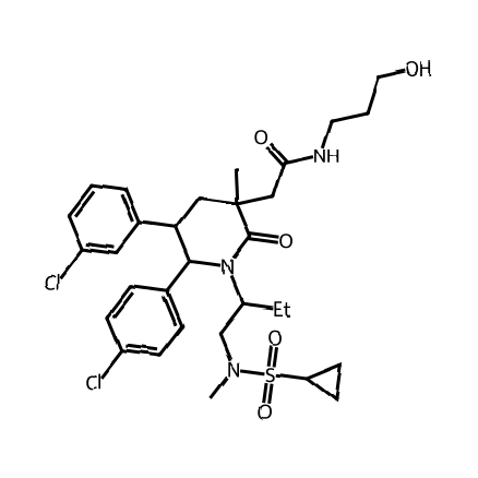 CCC(CN(C)S(=O)(=O)C1CC1)N1C(=O)C(C)(CC(=O)NCCCO)CC(c2cccc(Cl)c2)C1c1ccc(Cl)cc1